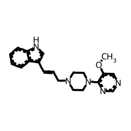 COc1cncnc1N1CCN(CC=Cc2c[nH]c3ccccc23)CC1